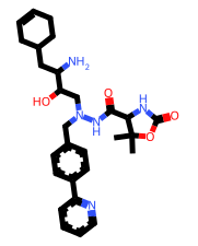 CC1(C)OC(=O)NC1C(=O)NN(Cc1ccc(-c2ccccn2)cc1)CC(O)C(N)CC1CC=CCC1